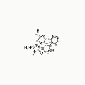 CN1C(=O)C(c2ccnc(CF)c2)(c2ccc(F)c(-c3ccnnc3)c2)N=C1N